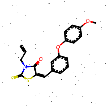 C=CCN1C(=O)/C(=C\c2cccc(Oc3ccc(OC)cc3)c2)SC1=S